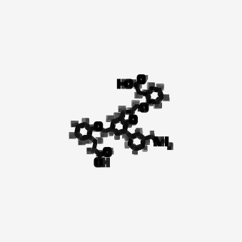 NCc1cccc(-c2cc(COc3ccccc3CCC(=O)O)cc3cc(COc4ccccc4CC(=O)O)oc23)c1